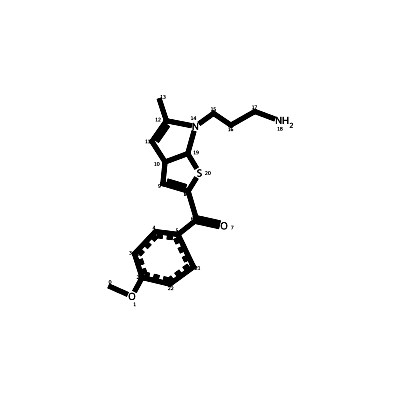 COc1ccc(C(=O)C2=CC3C=C(C)N(CCCN)C3S2)cc1